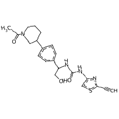 C#Cc1nc(NC(=O)NC(CO)c2ccc(C3CCCN(C(C)=O)C3)cc2)cs1